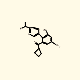 CCC(C)c1cc(N)cc(C(=O)C2CCC2)c1-c1ccc(C(C)F)nc1